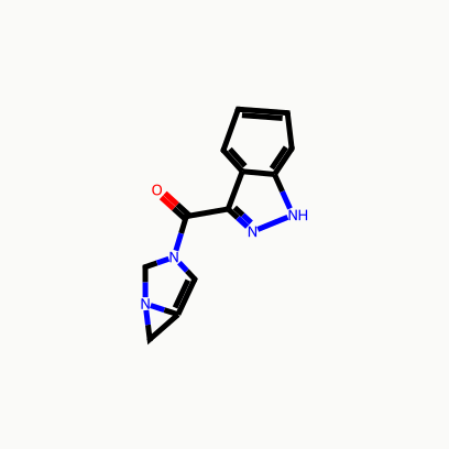 O=C(c1n[nH]c2ccccc12)N1C=C2CN2C1